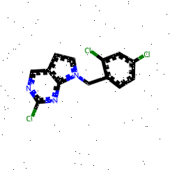 Clc1ccc(Cn2ccc3cnc(Cl)nc32)c(Cl)c1